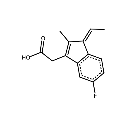 C/C=C1/C(C)=C(CC(=O)O)c2cc(F)ccc21